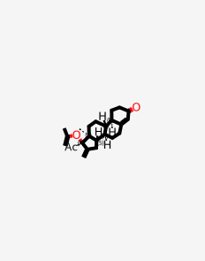 C=C(C)O[C@]1(C(C)=O)C(=C)C[C@H]2[C@@H]3CCC4=CC(=O)CC[C@@H]4[C@H]3CC[C@@]21C